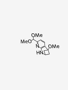 COC(OC)c1ccc2c(n1)NC1CC2(OC)C1